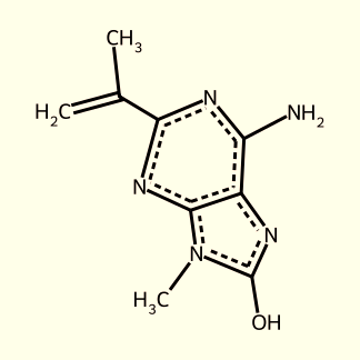 C=C(C)c1nc(N)c2nc(O)n(C)c2n1